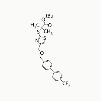 CC(C)(C)OC(=O)C(C)(C)Sc1nc(COCc2ccc(-c3ccc(C(F)(F)F)cc3)cc2)cs1